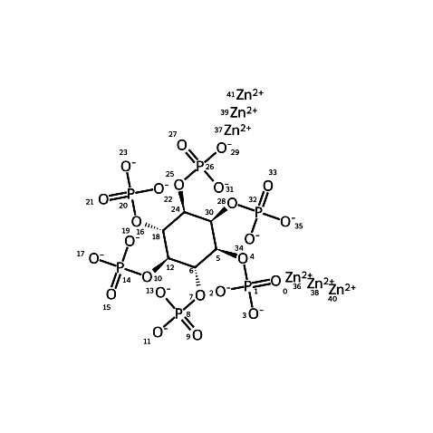 O=P([O-])([O-])O[C@H]1[C@H](OP(=O)([O-])[O-])[C@@H](OP(=O)([O-])[O-])[C@H](OP(=O)([O-])[O-])[C@@H](OP(=O)([O-])[O-])[C@H]1OP(=O)([O-])[O-].[Zn+2].[Zn+2].[Zn+2].[Zn+2].[Zn+2].[Zn+2]